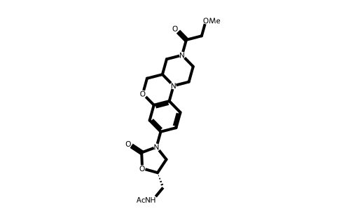 COCC(=O)N1CCN2c3ccc(N4C[C@H](CNC(C)=O)OC4=O)cc3OCC2C1